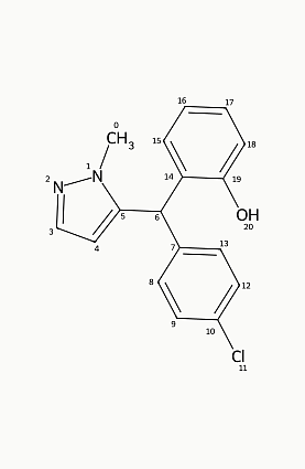 Cn1nccc1C(c1ccc(Cl)cc1)c1ccccc1O